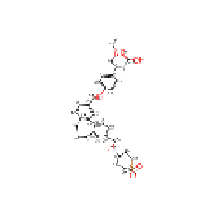 CCOC[C@@H](CC(=O)O)c1ccc(OCc2ccc3c(c2)-c2ccc(COC4CCS(=O)(=O)CC4)cc2CCC3)cc1